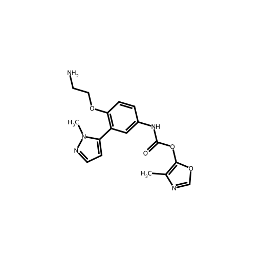 Cc1ncoc1OC(=O)Nc1ccc(OCCN)c(-c2ccnn2C)c1